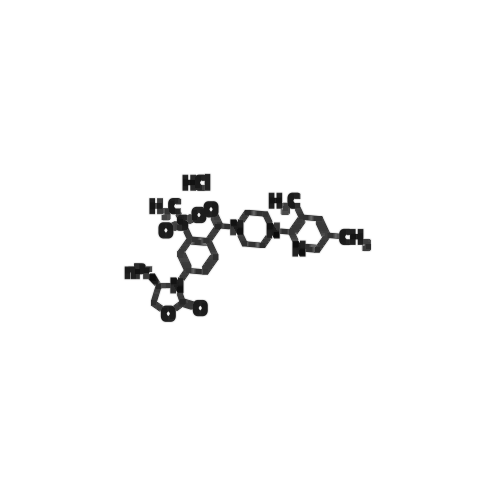 CCC[C@@H]1COC(=O)N1c1ccc(C(=O)N2CCN(c3ncc(C)cc3C)CC2)c(S(C)(=O)=O)c1.Cl